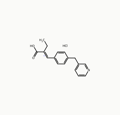 CC/C(=C\c1ccc(Cc2cccnc2)cc1)C(=O)O.Cl